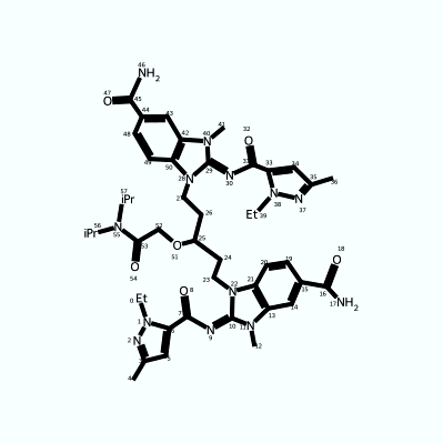 CCn1nc(C)cc1C(=O)N=c1n(C)c2cc(C(N)=O)ccc2n1CCC(CCn1c(=NC(=O)c2cc(C)nn2CC)n(C)c2cc(C(N)=O)ccc21)OCC(=O)N(C(C)C)C(C)C